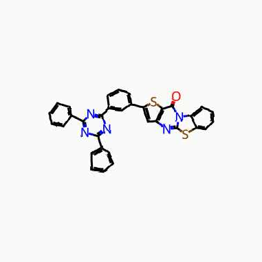 O=c1c2sc(-c3cccc(-c4nc(-c5ccccc5)nc(-c5ccccc5)n4)c3)cc2nc2sc3ccccc3n12